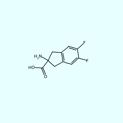 NC1(C(=O)O)Cc2cc(F)c(F)cc2C1